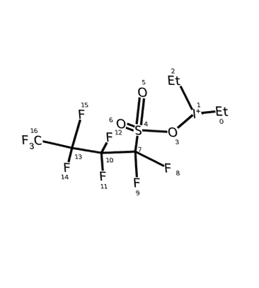 CC[I+](CC)OS(=O)(=O)C(F)(F)C(F)(F)C(F)(F)C(F)(F)F